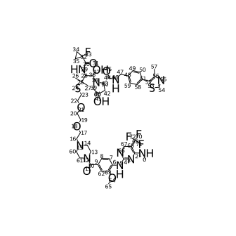 CNc1nc(Nc2ccc(C(=O)N3CCN(CCOCCOCCSC(C)(C)C(NC(=O)C4(F)CC4)C(O)N4C[C@H](O)C[C@H]4C(=O)NCc4ccc(-c5scnc5C)cc4)CC3)cc2OC)ncc1C(F)(F)F